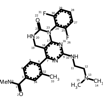 CNC(=O)c1ccc(-c2nc(NCCN(C)C)nc3c2CNC(=O)N3c2c(F)cccc2F)c(C)c1